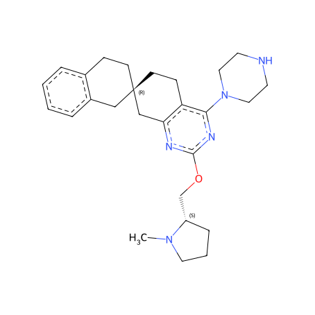 CN1CCC[C@H]1COc1nc2c(c(N3CCNCC3)n1)CC[C@@]1(CCc3ccccc3C1)C2